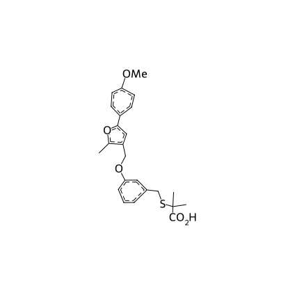 COc1ccc(-c2cc(COc3cccc(CSC(C)(C)C(=O)O)c3)c(C)o2)cc1